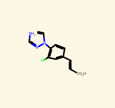 C=CN(/N=C\N)c1ccc(/C=C/C(=O)O)cc1Cl